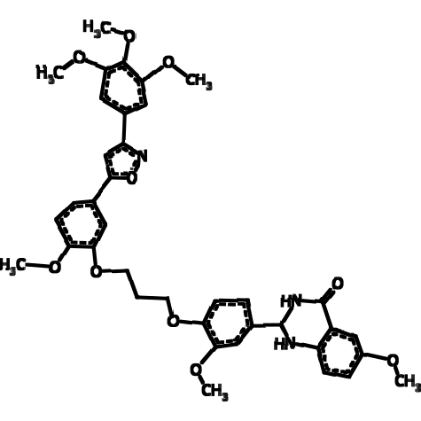 COc1ccc2c(c1)C(=O)NC(c1ccc(OCCCOc3cc(-c4cc(-c5cc(OC)c(OC)c(OC)c5)no4)ccc3OC)c(OC)c1)N2